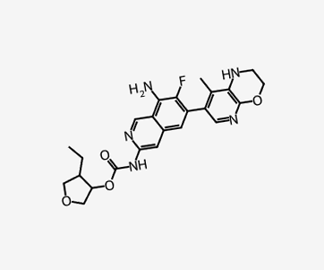 CCC1COCC1OC(=O)Nc1cc2cc(-c3cnc4c(c3C)NCCO4)c(F)c(N)c2cn1